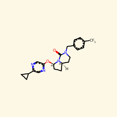 O=C1N(Cc2ccc(C(F)(F)F)cc2)CC[C@H]2CC[C@@H](Oc3cnc(C4CC4)cn3)N12